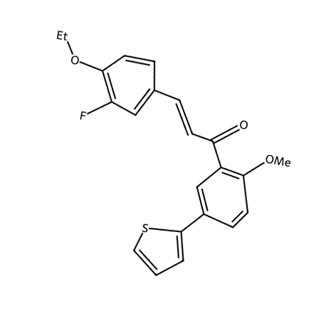 CCOc1ccc(C=CC(=O)c2cc(-c3cccs3)ccc2OC)cc1F